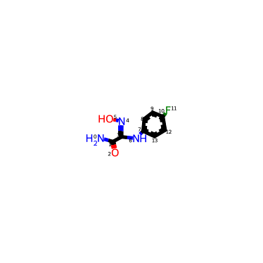 NC(=O)C(=NO)Nc1ccc(F)cc1